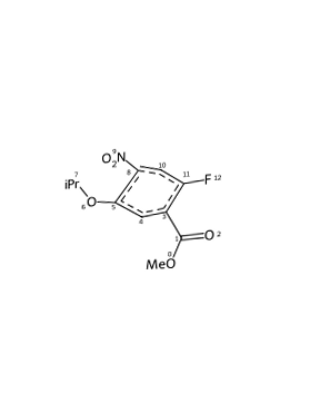 COC(=O)c1cc(OC(C)C)c([N+](=O)[O-])cc1F